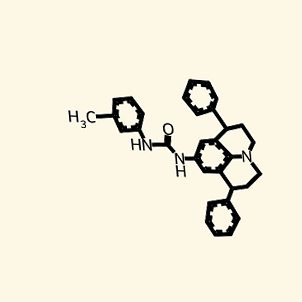 Cc1cccc(NC(=O)Nc2cc3c4c(c2)C(c2ccccc2)CCN4CCC3c2ccccc2)c1